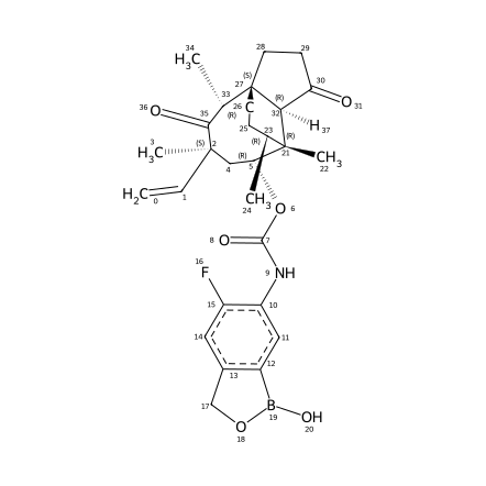 C=C[C@]1(C)C[C@@H](OC(=O)Nc2cc3c(cc2F)COB3O)[C@]2(C)[C@H](C)CC[C@]3(CCC(=O)[C@H]32)[C@@H](C)C1=O